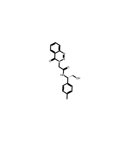 Cc1ccc([C@@H](CO)NC(=O)Cn2nnc3ccccc3c2=O)cc1